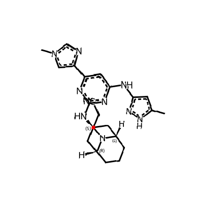 Cc1cc(Nc2cc(-c3cn(C)cn3)nc(N[C@@H]3C[C@H]4CCC[C@@H](C3)N4CCC#N)n2)n[nH]1